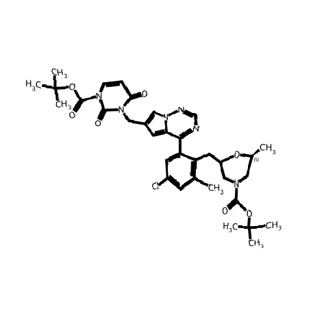 Cc1cc(Cl)cc(-c2ncnn3cc(Cn4c(=O)ccn(C(=O)OC(C)(C)C)c4=O)cc23)c1CC1CN(C(=O)OC(C)(C)C)C[C@H](C)O1